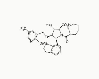 COc1ncc(C(F)(F)F)cc1CO[C@H]1[C@H](C(C)(C)C)[C@@H](C(=O)O)N(C(=O)[C@@H]2CCCCO2)[C@H]1c1cccc2c1OCC2